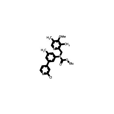 COc1c(C)cnc(CN(C(=O)OC(C)(C)C)c2cc(C)cc(-c3ccnc(Cl)c3)c2)c1C